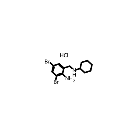 Cl.Nc1c(Br)cc(Br)cc1CNC1CCCCC1